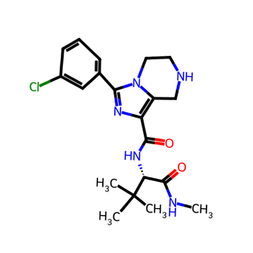 CNC(=O)[C@@H](NC(=O)c1nc(-c2cccc(Cl)c2)n2c1CNCC2)C(C)(C)C